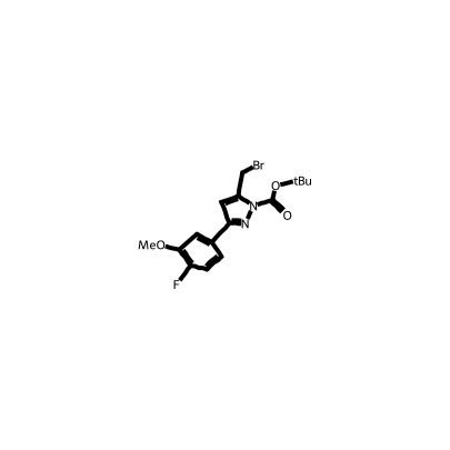 COc1cc(-c2cc(CBr)n(C(=O)OC(C)(C)C)n2)ccc1F